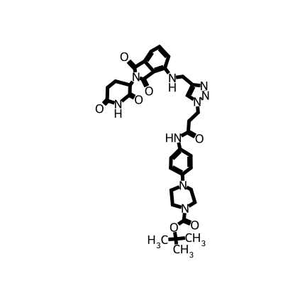 CC(C)(C)OC(=O)N1CCN(c2ccc(NC(=O)CCn3cc(CNc4cccc5c4C(=O)N(C4CCC(=O)NC4=O)C5=O)nn3)cc2)CC1